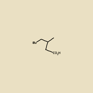 CCC(C)CC(C)CC(=O)O